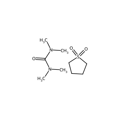 CN(C)C(=O)N(C)C.O=S1(=O)CCCC1